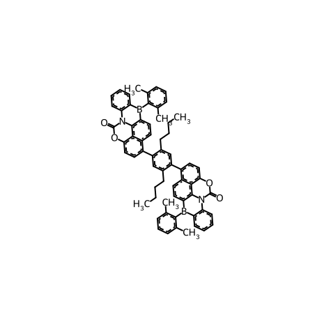 CCCCc1cc(-c2ccc3c4c5c(ccc24)B(c2c(C)cccc2C)c2ccccc2N5C(=O)O3)c(CCCC)cc1-c1ccc2c3c4c(ccc13)B(c1c(C)cccc1C)c1ccccc1N4C(=O)O2